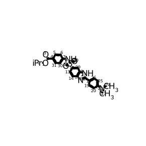 CC(C)OC(=O)c1ccc(NS(=O)(=O)c2ccc3nc(-c4ccc(N(C)C)cc4)[nH]c3c2)cc1